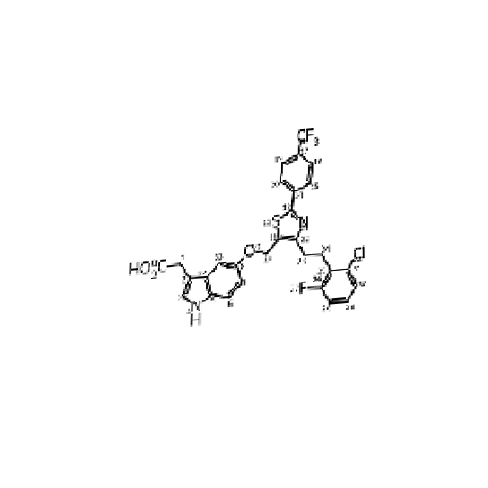 O=C(O)Cc1c[nH]c2ccc(OCc3sc(-c4ccc(C(F)(F)F)cc4)nc3CCc3c(F)cccc3Cl)cc12